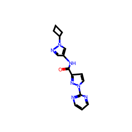 O=C(Nc1cnn(C2CCC2)c1)c1ccn(-c2ncccn2)n1